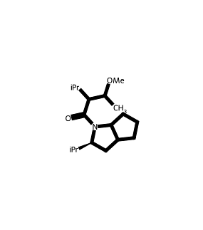 COC(C)C(C(=O)N1C2CCCC2C[C@H]1C(C)C)C(C)C